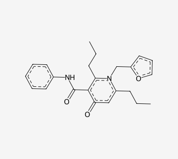 CCCc1cc(=O)c(C(=O)Nc2ccccc2)c(CCC)n1Cc1ccco1